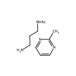 CC(=O)NCCCN.Cc1ncccn1